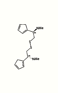 CN[C@@H](CSSC[C@H](NC)C1=CC=CC1)C1=CC=CC1